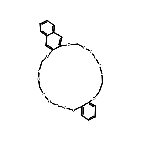 c1ccc2c(c1)OCCOCCOCCOc1cc3ccccc3cc1OCCOCCOCCO2